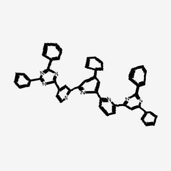 c1ccc(-c2cc(-c3cc(-c4nc(-c5ccccc5)nc(-c5ccccc5)n4)ccn3)nc(-c3cccc(-c4cc(-c5ccccc5)nc(-c5ccccc5)n4)n3)c2)cc1